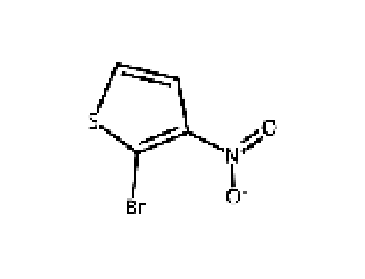 O=[N+]([O-])c1ccsc1Br